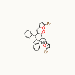 CC1C(c2ccccc2)C(=Cc2ccc(Br)o2)C(=O)C(=Cc2ccc(Br)o2)C1(c1ccccc1)[N+](=O)[O-]